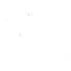 N=C1SCCN1c1ccc(O)cc1